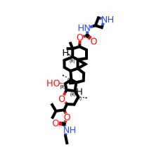 CCNC(=O)OC(C(C)C)C1C[C@@H](C)[C@H]2C(O1)[C@H](O)[C@@]1(C)C3CC[C@H]4C(C)(C)C(OC(=O)NC5CNC5)CCC45CC35CCC21C